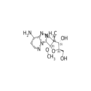 CO[C@@]1(c2cnc3c(N)ccnn23)O[C@H](CO)[C@@H](O)[C@@]1(C)C#N